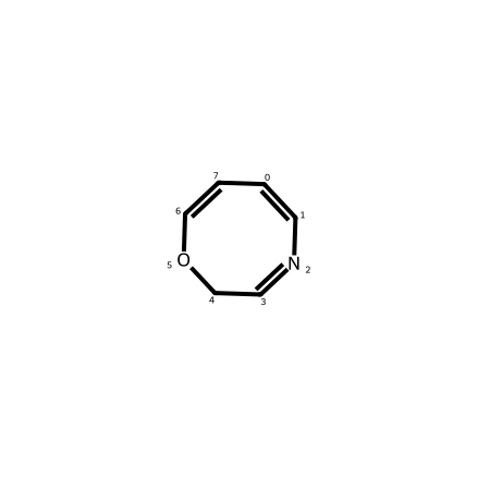 C1=C\N=C/CO\C=C/1